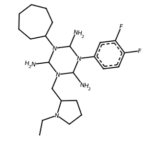 CCN1CCCC1CN1C(N)N(c2ccc(F)c(F)c2)C(N)N(C2CCCCCC2)C1N